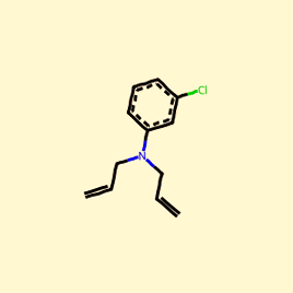 C=CCN(CC=C)c1cccc(Cl)c1